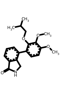 COc1ccc(-c2cccc3c2CNC3=O)c(OC[C](C)C)c1OC